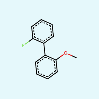 COc1ccc[c]c1-c1ccccc1F